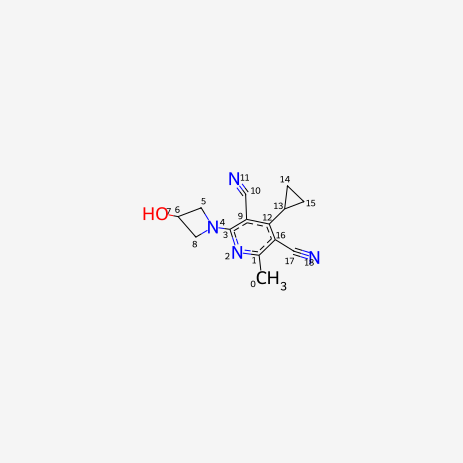 Cc1nc(N2CC(O)C2)c(C#N)c(C2CC2)c1C#N